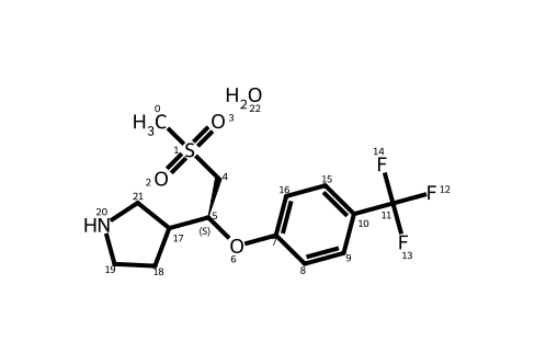 CS(=O)(=O)C[C@@H](Oc1ccc(C(F)(F)F)cc1)C1CCNC1.O